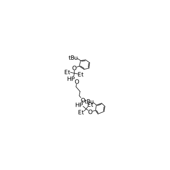 CCC(CC)(Oc1ccccc1C(C)(C)C)POCCCOPC(CC)(CC)Oc1ccccc1C(C)(C)C